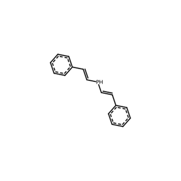 C(=Cc1ccccc1)PC=Cc1ccccc1